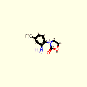 Nc1cc(C(F)(F)F)ccc1N1CCOC1=O